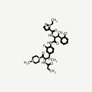 CCC(=O)N[C@@H](C(=O)N1CCN(C)CC1)[C@@H](C)c1ccc(NC(=O)C(NC(=O)c2ccnn2CC)C(C)c2ccccc2Cl)c(F)c1